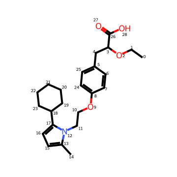 CCOC(Cc1ccc(OCCn2c(C)ccc2C2CCCCC2)cc1)C(=O)O